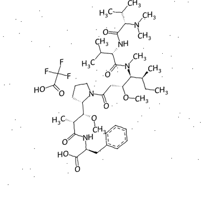 CC[C@H](C)[C@@H]([C@@H](CC(=O)N1CCC[C@H]1[C@H](OC)[C@@H](C)C(=O)N[C@@H](Cc1ccccc1)C(=O)O)OC)N(C)C(=O)[C@@H](NC(=O)[C@H](C(C)C)N(C)C)C(C)C.O=C(O)C(F)(F)F